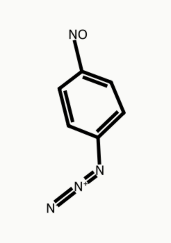 [N-]=[N+]=Nc1ccc(N=O)cc1